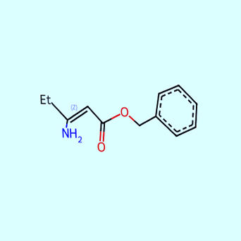 CC/C(N)=C/C(=O)OCc1ccccc1